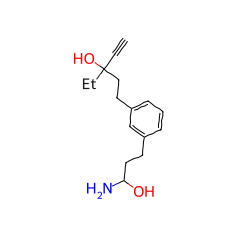 C#CC(O)(CC)CCc1cccc(CCC(N)O)c1